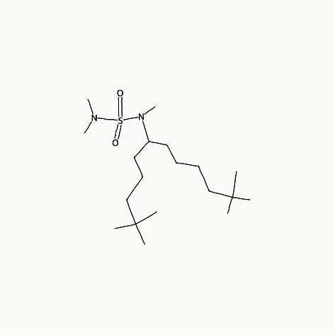 CN(C)S(=O)(=O)N(C)C(CCCCC(C)(C)C)CCCC(C)(C)C